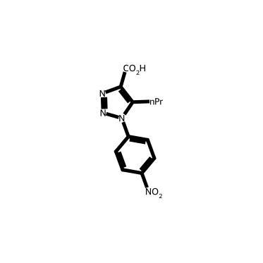 CCCc1c(C(=O)O)nnn1-c1ccc([N+](=O)[O-])cc1